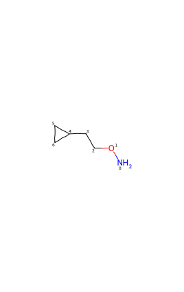 NOCCC1CC1